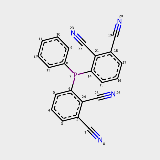 N#Cc1cccc(P(c2ccccc2)c2cccc(C#N)c2C#N)c1C#N